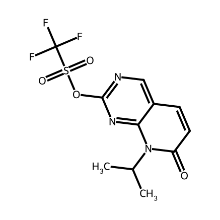 CC(C)n1c(=O)ccc2cnc(OS(=O)(=O)C(F)(F)F)nc21